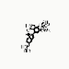 CCCNCc1ccc2[nH]c(-c3cc(OC)c(OS(C)(=O)=O)c4c3C(=O)NC4)cc2c1